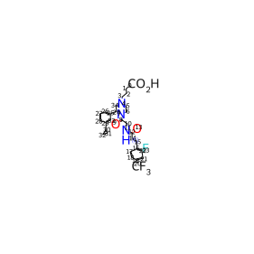 O=C(O)CCCN1CCN(C(=O)CNC(=O)/C=C/c2ccc(C(F)(F)F)cc2F)C(c2cccc(C3CC3)c2)C1